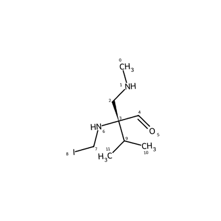 CNC[C@](C=O)(NCI)C(C)C